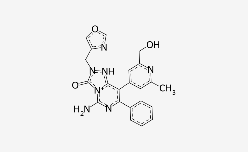 Cc1cc(-c2c(-c3ccccc3)nc(N)[n+]3c(=O)n(Cc4cocn4)[nH]c23)cc(CO)n1